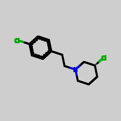 Clc1ccc(CCN2CCC[C@@H](Cl)C2)cc1